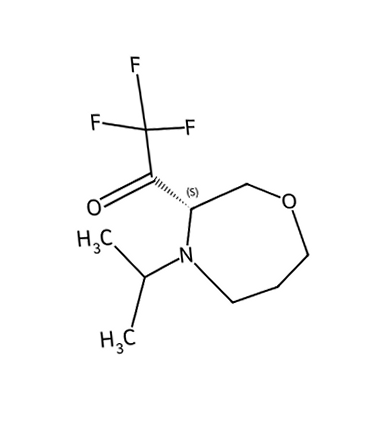 CC(C)N1CCCOC[C@H]1C(=O)C(F)(F)F